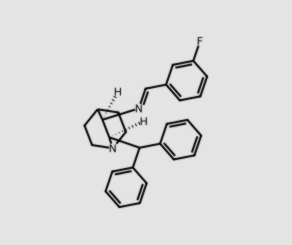 Fc1cccc(C=N[C@@H]2C3CCN(CC3)[C@@H]2C(c2ccccc2)c2ccccc2)c1